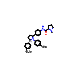 CNc1ccc([C@@H]2CCC(c3ccc(NC(=O)C4CCCN4C)cc3)N2c2ccc(C(C)(C)C)cc2)cc1